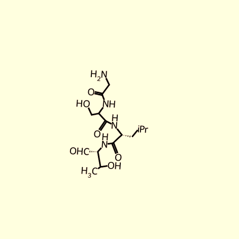 CC(C)C[C@@H](NC(=O)C(CO)NC(=O)CN)C(=O)N[C@@H](C=O)C(C)O